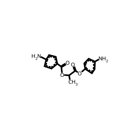 CC(OC(=O)c1ccc(N)cc1)C(=O)Oc1ccc(N)cc1